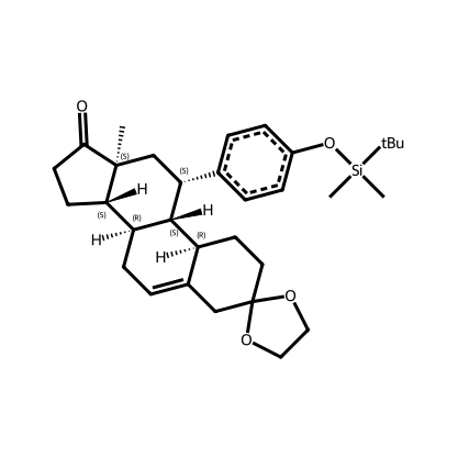 CC(C)(C)[Si](C)(C)Oc1ccc([C@H]2C[C@]3(C)C(=O)CC[C@H]3[C@@H]3CC=C4CC5(CC[C@@H]4[C@H]32)OCCO5)cc1